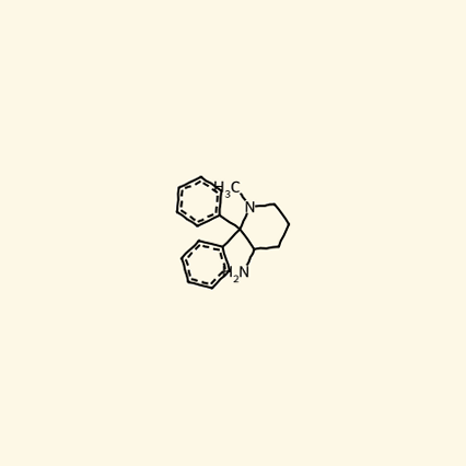 CN1CCCC(N)C1(c1ccccc1)c1ccccc1